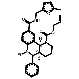 C=CCOC(=O)N1CCC[C@H]2C(c3ccccc3)N(CC)c3ccc(C(=O)NCc4ccc(C)o4)cc3[C@H]21